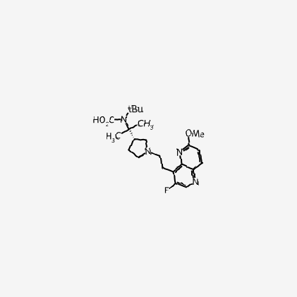 COc1ccc2ncc(F)c(CCN3CC[C@H](C(C)(C)N(C(=O)O)C(C)(C)C)C3)c2n1